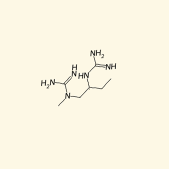 CC[C](CN(C)C(=N)N)NC(=N)N